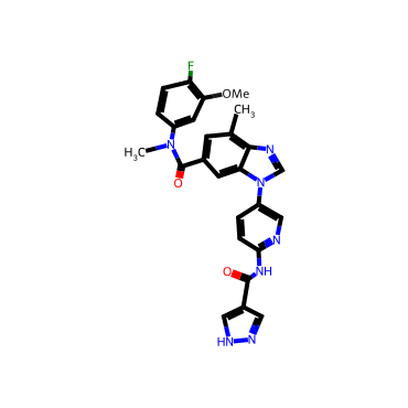 COc1cc(N(C)C(=O)c2cc(C)c3ncn(-c4ccc(NC(=O)c5cn[nH]c5)nc4)c3c2)ccc1F